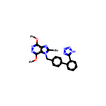 CCCCc1nc2c(OC(C)C)nnc(OC(C)C)c2n1Cc1ccc(-c2ccccc2-c2nnn[nH]2)cc1